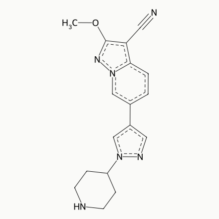 COc1nn2cc(-c3cnn(C4CCNCC4)c3)ccc2c1C#N